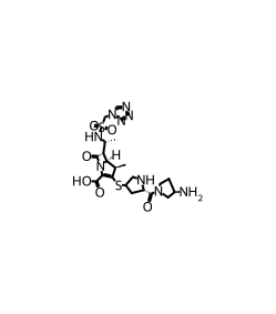 C[C@@H](NS(=O)(=O)Cn1cnnn1)[C@H]1C(=O)N2C(C(=O)O)=C(SC3CN[C@H](C(=O)N4CC[C@@H](N)C4)C3)[C@H](C)[C@H]12